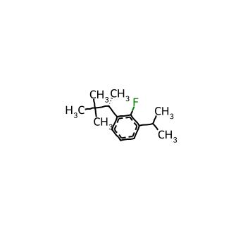 CC(C)c1cccc([C@@H](C)C(C)(C)C)c1F